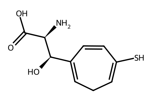 N[C@H](C(=O)O)[C@H](O)C1=CCC=C(S)C=C1